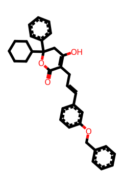 O=C1OC(c2ccccc2)(C2CCCCC2)CC(O)=C1C/C=C/c1cccc(OCc2ccccc2)c1